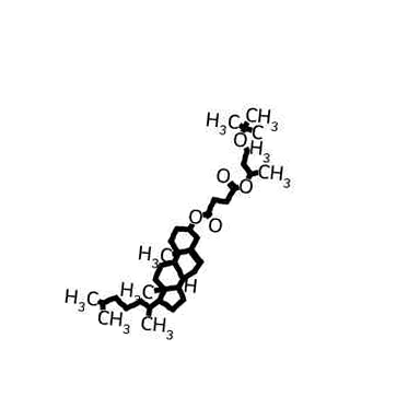 CC(C)CCCC(C)C1CCC2[C@@H]3CC=C4CC(OC(=O)CCC(=O)OC(C)CCOC(C)(C)C)CCC4(C)C3CCC12C